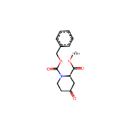 CCCCOC(=O)C1CC(=O)CCN1C(=O)OCc1ccccc1